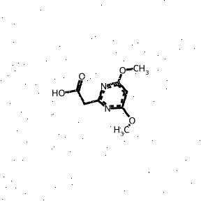 COc1cc(OC)nc(CC(=O)O)n1